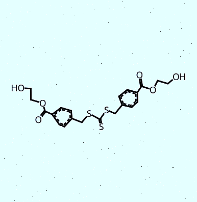 O=C(OCCO)c1ccc(CSC(=S)SCc2ccc(C(=O)OCCO)cc2)cc1